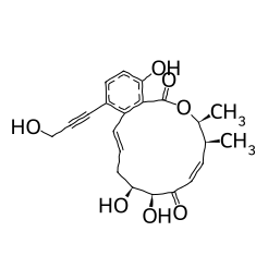 C[C@@H]1OC(=O)c2c(O)ccc(C#CCO)c2/C=C/C[C@H](O)[C@H](O)C(=O)/C=C\[C@@H]1C